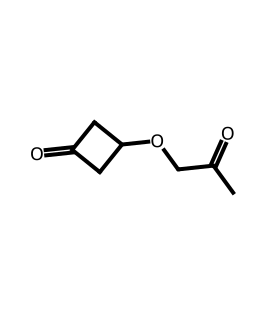 CC(=O)COC1CC(=O)C1